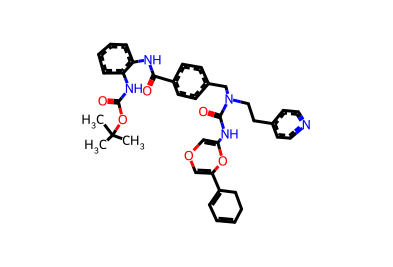 CC(C)(C)OC(=O)Nc1ccccc1NC(=O)c1ccc(CN(CCc2ccncc2)C(=O)NC2=COC=C(C3=CC=CCC3)O2)cc1